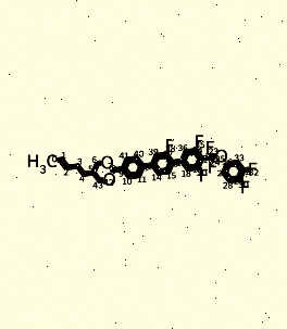 C/C=C/CCC1COC(c2ccc(-c3ccc(-c4cc(F)c(C(F)(F)Oc5ccc(F)c(F)c5)c(F)c4)c(F)c3)cc2)OC1